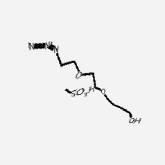 CS(=O)(=O)O.[N-]=[N+]=NCCOCCOCCO